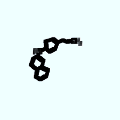 C=CCc1ccc(Nc2ccc3ccccc3c2)cc1